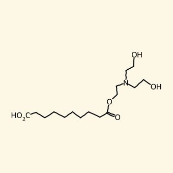 O=C(O)CCCCCCCCC(=O)OCCN(CCO)CCO